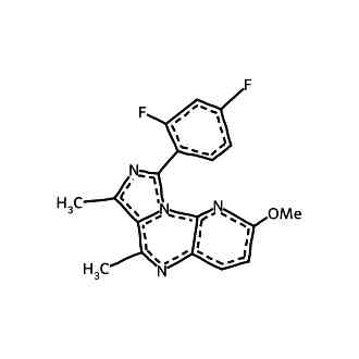 COc1ccc2nc(C)c3c(C)nc(-c4ccc(F)cc4F)n3c2n1